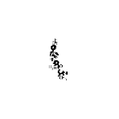 CCC(CCNC(=O)c1ccc(Nc2nccn3c(-c4ccc(OC(F)F)cc4)cnc23)cc1C)C1CNC1